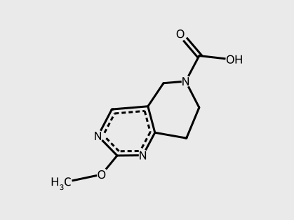 COc1ncc2c(n1)CCN(C(=O)O)C2